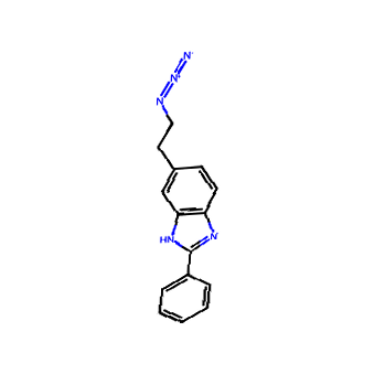 [N-]=[N+]=NCCc1ccc2nc(-c3ccccc3)[nH]c2c1